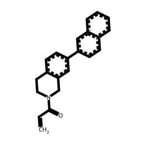 C=CC(=O)N1CCc2ccc(-c3ccc4ccccc4c3)cc2C1